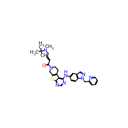 CN(CC=CC(=O)N1CCc2c(sc3ncnc(Nc4ccc5c(cnn5Cc5ccccn5)c4)c23)C1)C(C)(C)C